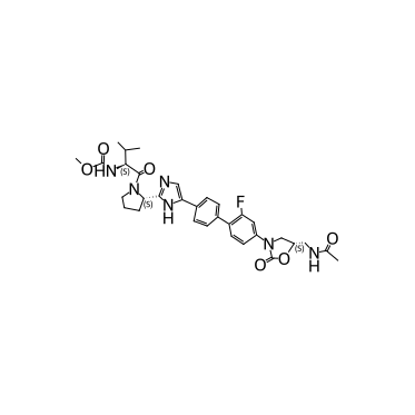 COC(=O)N[C@H](C(=O)N1CCC[C@H]1c1ncc(-c2ccc(-c3ccc(N4C[C@H](CNC(C)=O)OC4=O)cc3F)cc2)[nH]1)C(C)C